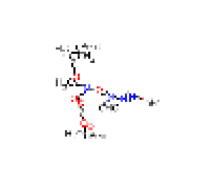 C=C(CCN(CCOCCN(CCC=O)CCN1CCN(CCOCCC)CC1)CCC(=O)OCCCCOC(=O)C(C)CCCCC)OCCCCCC(=C)C(C)CCCCC